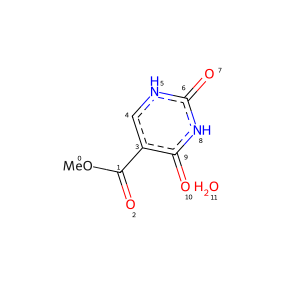 COC(=O)c1c[nH]c(=O)[nH]c1=O.O